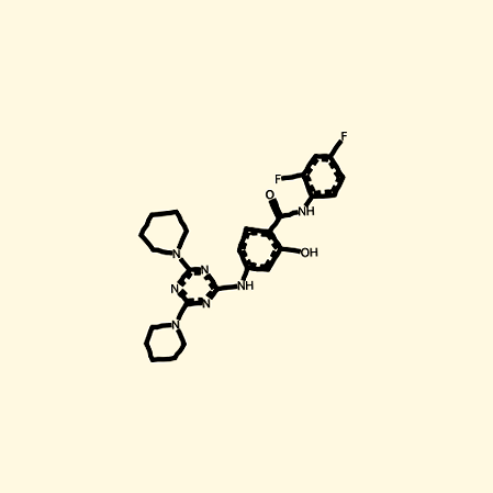 O=C(Nc1ccc(F)cc1F)c1ccc(Nc2nc(N3CCCCC3)nc(N3CCCCC3)n2)cc1O